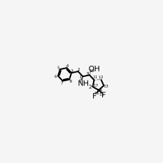 N[C@@H](Cc1ccccc1)[C@H](O)[C@@H]1CCC(F)(F)C1